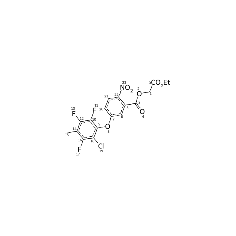 CCOC(=O)COC(=O)c1cc(Oc2c(F)c(F)c(C)c(F)c2Cl)ccc1[N+](=O)[O-]